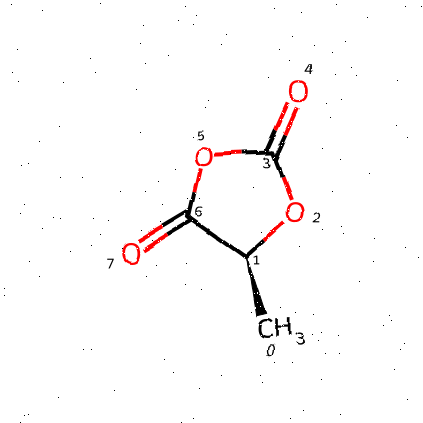 C[C@@H]1OC(=O)OC1=O